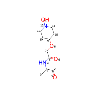 CC(C=O)NC(=O)COC1CCN(O)CC1